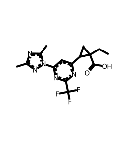 CCC1(C(=O)O)CC1c1cc(-n2nc(C)nc2C)nc(C(F)(F)F)n1